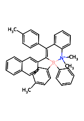 Cc1ccc(C2=C(c3ccc4ccccc4c3)[B-](c3ccccc3)(c3ccc(C)cc3)[N+](C)(C)c3ccccc32)cc1